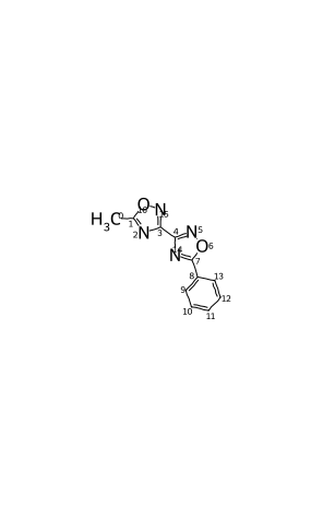 Cc1nc(-c2noc(-c3ccccc3)n2)no1